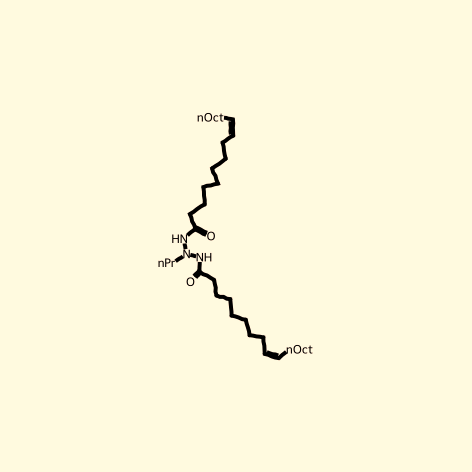 CCCCCCCC/C=C\CCCCCCCC(=O)NN(CCC)NC(=O)CCCCCCC/C=C\CCCCCCCC